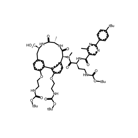 Cc1nc(-c2ccc(C(C)(C)C)cc2)ncc1C(=O)N[C@@H](CCNC(=O)OC(C)(C)C)C(=O)N(C)[C@@H]1C(=O)N[C@@H](C)C(=O)N[C@H](C(=O)O)Cc2ccc(OCCNC(=O)OC(C)(C)C)c(c2)-c2cc1ccc2OCCNC(=O)OC(C)(C)C